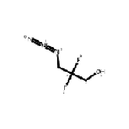 [N-]=[N+]=NCC(F)(F)CO